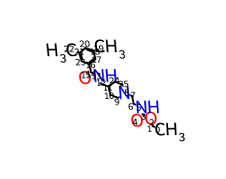 CCOC(=O)NCCN1CCC(CNC(=O)c2cc(C)cc(C)c2)CC1